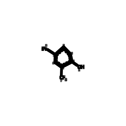 CC(C)c1ccc(O)c(C(F)(F)F)c1